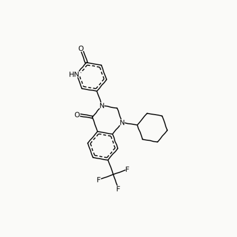 O=C1c2ccc(C(F)(F)F)cc2N(C2CCCCC2)CN1c1ccc(=O)[nH]c1